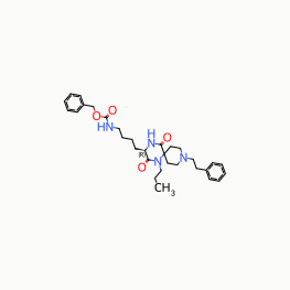 CCCN1C(=O)[C@@H](CCCCNC(=O)OCc2ccccc2)NC(=O)C12CCN(CCc1ccccc1)CC2